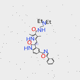 CCN(CC)CCNC(=O)c1c(C)[nH]c(/C=C2\C(=O)Nc3ccc(-c4ncc(-c5ccccc5)o4)cc32)c1C